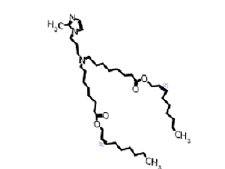 CCCCCC/C=C\COC(=O)CCCCCCCN(CCCCCCCC(=O)OC/C=C\CCCCCC)CCCn1ccnc1C